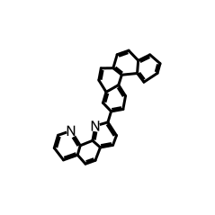 c1ccc2c(c1)ccc1ccc3cc(-c4ccc5ccc6cccnc6c5n4)ccc3c12